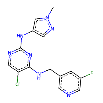 Cn1cc(Nc2ncc(Cl)c(NCc3cncc(F)c3)n2)cn1